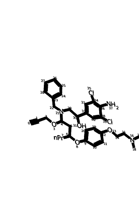 C#CCOC(CC(CCC)Oc1ccc(OCCN(C)C)cc1)N(Cc1ccccc1)CC(O)c1cc(Cl)c(N)c(Cl)c1